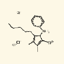 CCCCCC1=C(C)C(C)=[C]([Ti+3])C1[SiH2]c1ccccc1.[Cl-].[Cl-].[Cl-]